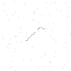 [CH2]C(O)CC1OC1OCCCCCCCC